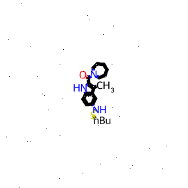 CCCCSNc1ccc2[nH]c(C(=O)N3CCCCCC3)c(C)c2c1